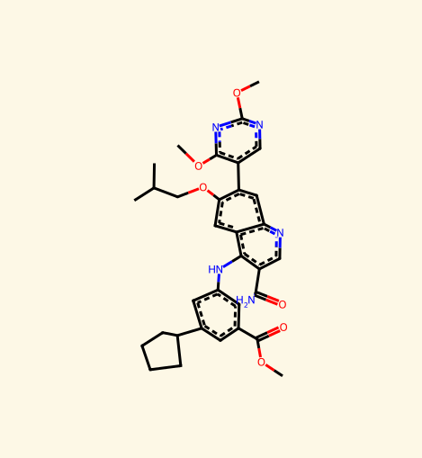 COC(=O)c1cc(Nc2c(C(N)=O)cnc3cc(-c4cnc(OC)nc4OC)c(OCC(C)C)cc23)cc(C2CCCC2)c1